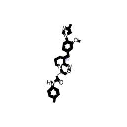 COc1cc(/C=C2\CCCN3C2=NOC[C@@H]3CC(=O)Nc2ccc(C)cc2)ccc1-n1cnc(C)c1